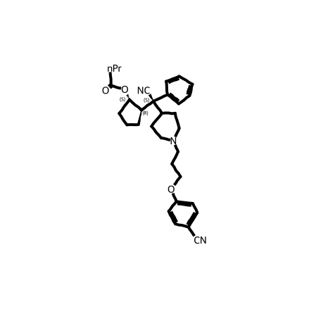 CCCC(=O)O[C@H]1CCC[C@@H]1[C@](C#N)(c1ccccc1)C1CCN(CCCOc2ccc(C#N)cc2)CC1